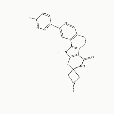 Cc1ccc(-c2cc3c(cn2)CCc2c4c(n(C)c2-3)CC2(CN(C)C2)NC4=O)cn1